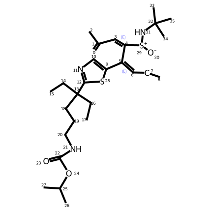 C=C(C)/C=C(\C(=C/CC)c1cnc(C(CC)(CC)CCCNC(=O)OC(C)C)s1)[S+]([O-])NC(C)(C)C